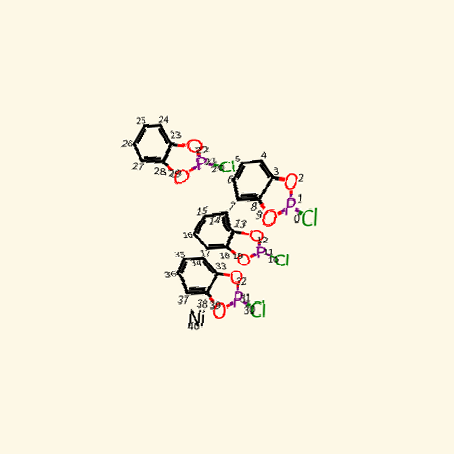 ClP1Oc2ccccc2O1.ClP1Oc2ccccc2O1.ClP1Oc2ccccc2O1.ClP1Oc2ccccc2O1.[Ni]